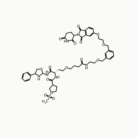 CS(=O)(=O)N1CCC(C(=O)N[C@@H](CCOCCCC(=O)NCCOCc2cccc(COCCOc3ccc4c(c3)C(=O)N(C3CCC(=O)NC3=O)C4=O)c2)C(=O)NC2NC(c3ccccc3)CS2)C1